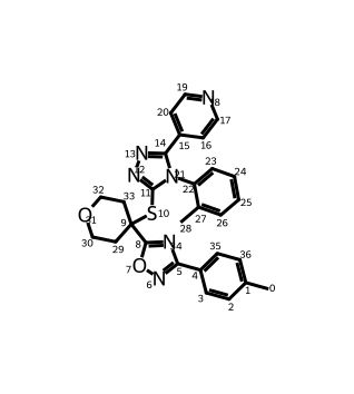 Cc1ccc(-c2noc(C3(Sc4nnc(-c5ccncc5)n4-c4ccccc4C)CCOCC3)n2)cc1